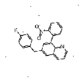 O=[N+]([O-])c1ccccc1-c1cc(Cc2ccc(F)cc2)cc2cccnc12